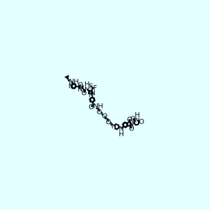 O=C1CCC(N2C(=O)c3ccc(NC4CCN(CCOCCOCCOCCNC(=O)c5ccc(-n6cc(NC(=O)c7coc(-c8ccnc(NCC9CC9)c8)n7)c(C(F)F)n6)cc5)CC4)cc3C2=O)C(=O)N1